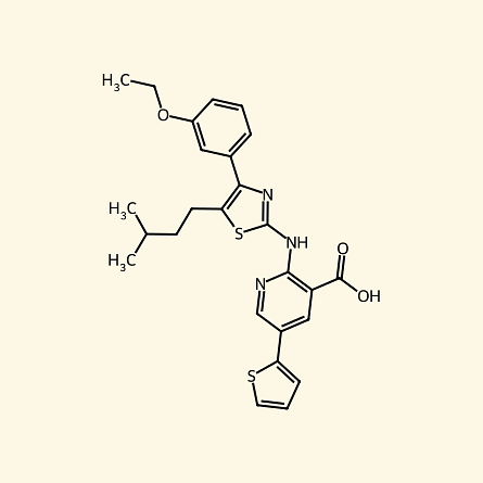 CCOc1cccc(-c2nc(Nc3ncc(-c4cccs4)cc3C(=O)O)sc2CCC(C)C)c1